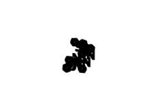 N#Cc1cc(-c2nc(-c3cccc4c3oc3ccccc34)nc(-c3ccccc3)c2C#N)ccc1-n1c2ccccc2c2ccc3c4ccccc4sc3c21